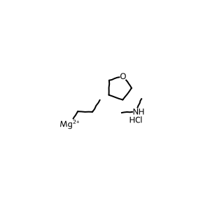 C1CCOC1.CC[CH2][Mg+2].CNC.Cl